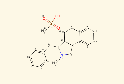 CN1CC2c3ccccc3CCC2C1Cc1ccccc1.CS(=O)(=O)O